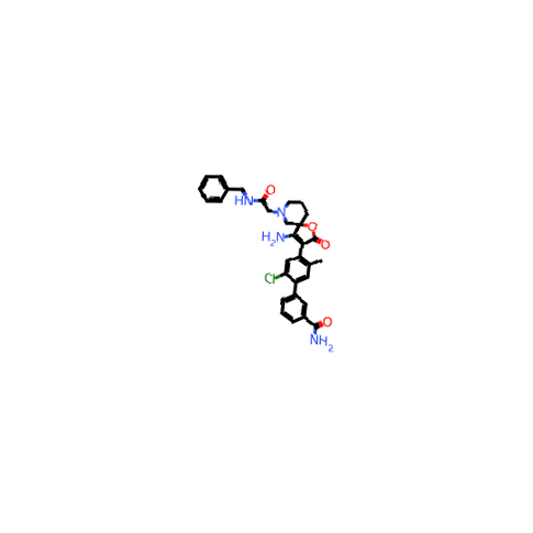 Cc1cc(-c2cccc(C(N)=O)c2)c(Cl)cc1C1=C(N)C2(CCCN(CC(=O)NCc3ccccc3)C2)OC1=O